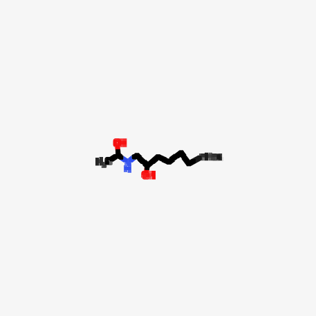 CCCCCCCCCCC(O)CNC(C)O